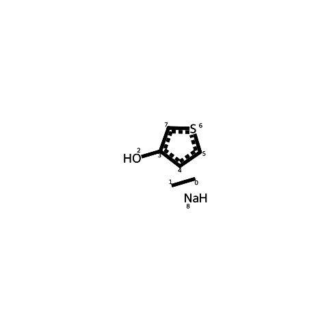 CC.Oc1ccsc1.[NaH]